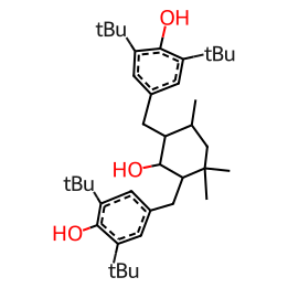 CC1CC(C)(C)C(Cc2cc(C(C)(C)C)c(O)c(C(C)(C)C)c2)C(O)C1Cc1cc(C(C)(C)C)c(O)c(C(C)(C)C)c1